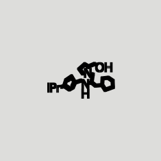 CC(C)c1ccc(CNC(CC2CCCCC2)CN2CCCC2CO)cc1